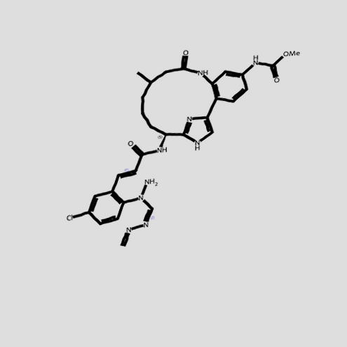 C=N/N=C\N(N)c1ccc(Cl)cc1/C=C/C(=O)N[C@H]1CCCC(C)CC(=O)Nc2cc(NC(=O)OC)ccc2-c2c[nH]c1n2